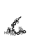 CCCCOC(=O)Oc1ccc2c(ccn2CCC(C)(C)NC[C@H](O)c2cccc(NS(=O)(=O)c3ccccc3)c2)c1.O=C(O)C(F)(F)F